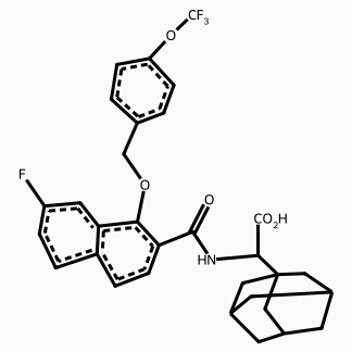 O=C(NC(C(=O)O)C12CC3CC(CC(C3)C1)C2)c1ccc2ccc(F)cc2c1OCc1ccc(OC(F)(F)F)cc1